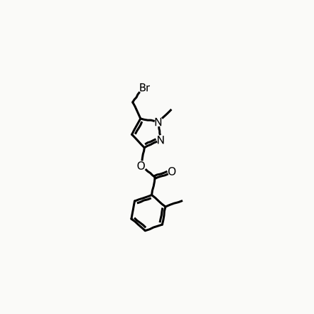 Cc1ccccc1C(=O)Oc1cc(CBr)n(C)n1